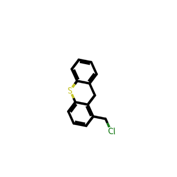 ClCc1cccc2c1Cc1ccccc1S2